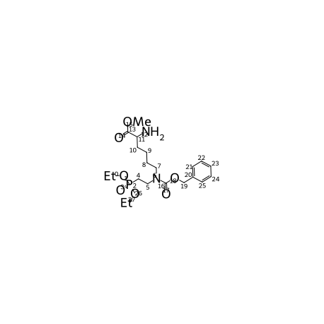 CCOP(=O)(CCN(CCCCC(N)C(=O)OC)C(=O)OCc1ccccc1)OCC